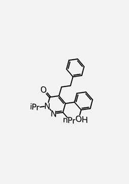 CCCc1nn(C(C)C)c(=O)c(CCc2ccccc2)c1-c1ccccc1O